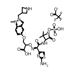 C[n+]1c2ccc(OCC(ON=C(C(=O)NC3C(=O)N(OS(=O)(=O)O)C3(C)C)c3csc(N)n3)C(=O)O)cc2cn1CC1CNC1.O=C([O-])C(F)(F)F